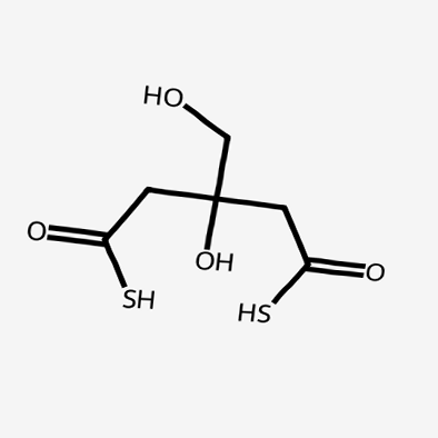 O=C(S)CC(O)(CO)CC(=O)S